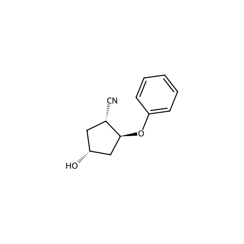 N#C[C@H]1C[C@@H](O)C[C@@H]1Oc1ccccc1